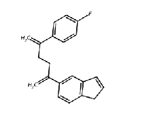 C=C(CCC(=C)c1ccc2c(c1)C=CC2)c1ccc(F)cc1